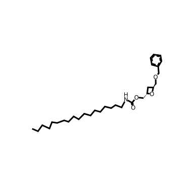 CCCCCCCCCCCCCCCCCCNC(=O)OC[C@@H]1C[C@@H](COCc2ccccc2)O1